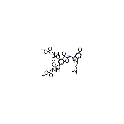 CCOC(=O)CNC(=O)Oc1cc(OC(=O)NCC(=O)OCC)c2c(c1)O/C(=C\c1cn(CCCN(C)C)c3ccc(OC)cc13)C2=O